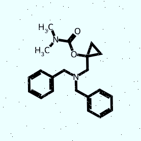 CN(C)C(=O)OC1(CN(Cc2ccccc2)Cc2ccccc2)CC1